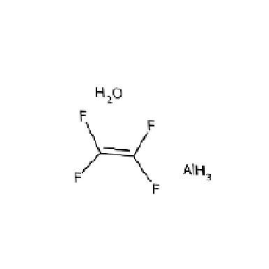 FC(F)=C(F)F.O.[AlH3]